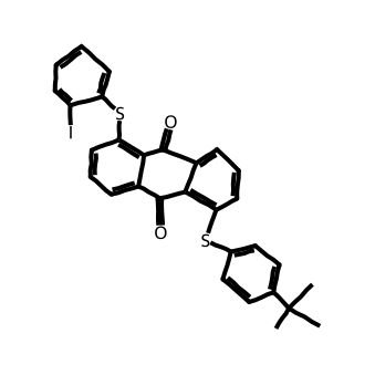 CC(C)(C)c1ccc(Sc2cccc3c2C(=O)c2cccc(Sc4ccccc4I)c2C3=O)cc1